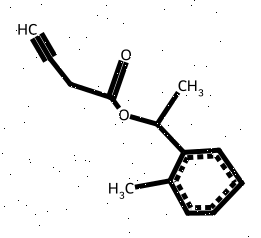 C#CCC(=O)OC(C)c1ccccc1C